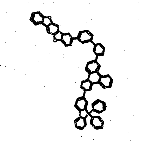 c1ccc(C2(c3ccccc3)c3ccccc3-c3ccc(-c4ccc5c6ccc(-c7cccc(-c8cccc(-c9ccc%10oc%11cc%12c(cc%11c%10c9)oc9ccccc9%12)c8)c7)cc6c6ccccc6c5c4)cc32)cc1